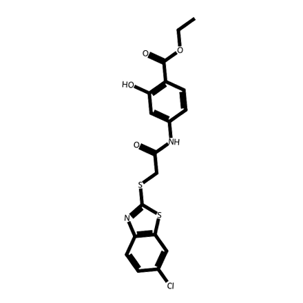 CCOC(=O)c1ccc(NC(=O)CSc2nc3ccc(Cl)cc3s2)cc1O